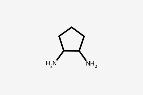 NC1CCCC1N